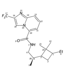 CCC1CC([C@@H](C)CNC(=O)c2cccc3nc(C(F)(F)F)cn23)C1(C)C